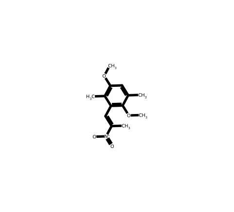 COc1cc(C)c(OC)c(/C=C(\C)[N+](=O)[O-])c1C